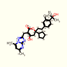 Cc1cc(C)n2nc(CC3=C(O)CC(CCc4ccc(C(C)(C)O)c(C)c4)(C4CCCC4)OC3=O)nc2n1